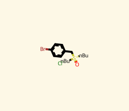 CCCC[S+](=O)(CCCC)Cc1ccc(Br)cc1.[Cl-]